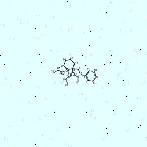 CCOC1(CCc2ccccc2)CCCC[Si]1(OCC)OCC